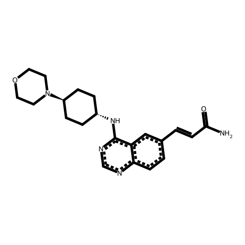 NC(=O)/C=C/c1ccc2ncnc(N[C@H]3CC[C@H](N4CCOCC4)CC3)c2c1